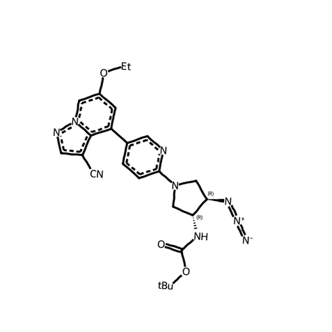 CCOc1cc(-c2ccc(N3C[C@@H](N=[N+]=[N-])[C@H](NC(=O)OC(C)(C)C)C3)nc2)c2c(C#N)cnn2c1